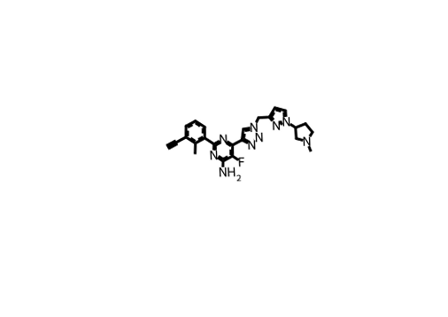 C#Cc1cccc(-c2nc(N)c(F)c(-c3cn(Cc4ccn(C5CCN(C)C5)n4)nn3)n2)c1C